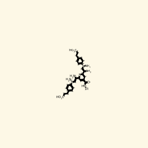 CCNC(=O)c1cc(/C(N)=C/N(N)c2ccc(CCC(=O)O)cc2)nc(/C(N)=C/N(N)c2ccc(CCC(=O)O)cc2)c1